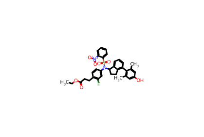 CCOC(=O)CCc1ccc(N(C2CCc3c(-c4c(C)cc(O)cc4C)cccc32)S(=O)(=O)c2ccccc2[N+](=O)[O-])cc1F